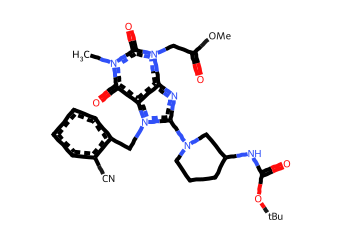 COC(=O)Cn1c(=O)n(C)c(=O)c2c1nc(N1CCCC(NC(=O)OC(C)(C)C)C1)n2Cc1ccccc1C#N